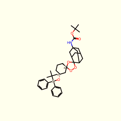 CC(C)(C)OC(=O)NC12CC3CC(C1)C1(OO[C@@]4(CCC[C@@H](O[Si](c5ccccc5)(c5ccccc5)C(C)(C)C)C4)O1)C(C3)C2